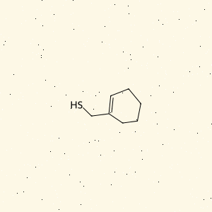 SCC1=CCCCC1